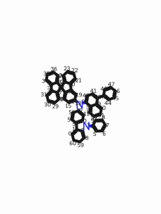 C1=c2c(n(-c3ccccc3)c3cc(N(c4ccc5c(c4)-c4ccccc4C54c5ccccc5-c5ccccc54)c4ccc(-c5ccccc5)c5ccccc45)ccc23)=CCC1